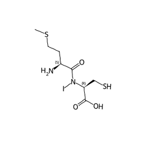 CSCC[C@H](N)C(=O)N(I)[C@@H](CS)C(=O)O